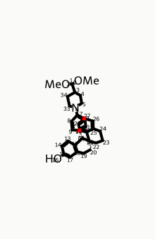 COC(OC)C1CCN(c2ccc([C@H]3c4ccc(O)cc4CC[C@]34CCCc3ccccc34)cc2)CC1